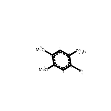 CCc1cc(OC)c(OC)cc1C(=O)O